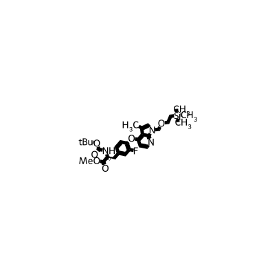 COC(=O)[C@H](Cc1ccc(Oc2ccnc3c2c(C)cn3COCC[Si](C)(C)C)c(F)c1)NC(=O)OC(C)(C)C